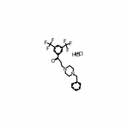 Cl.Cl.O=C(CCN1CCN(Cc2ccccc2)CC1)c1cc(C(F)(F)F)cc(C(F)(F)F)c1